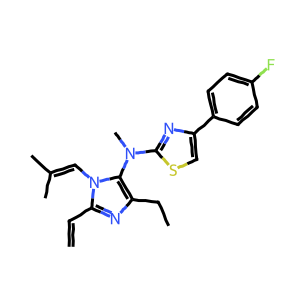 C=Cc1nc(CC)c(N(C)c2nc(-c3ccc(F)cc3)cs2)n1C=C(C)C